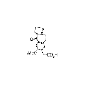 COc1cc2c(cc1CC(=O)O)CCc1ccccc1C2=O